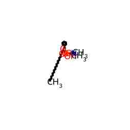 CCCCCCCCCCCCCCCCCCOCC(COP(O)OCCN(C)C)OCc1ccccc1